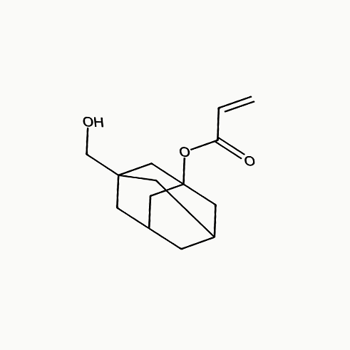 C=CC(=O)OC12CC3CC(CC(CO)(C3)C1)C2